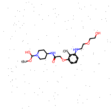 CC(C)(C)OC(O)N1CCC(NC(=O)COc2cccc(NCCOCCO)c2N=O)CC1